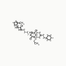 CCCN1C(=O)[C@H](CCCCNC(=O)Nc2ccsc2C)NC(=O)C12CCN(CCc1ccccc1)CC2